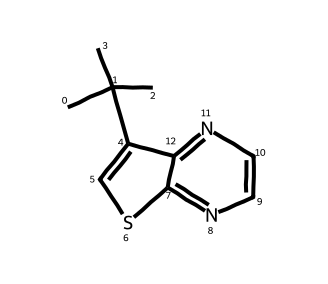 CC(C)(C)c1csc2nccnc12